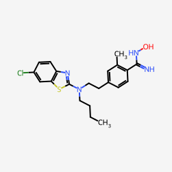 CCCCN(CCc1ccc(C(=N)NO)c(C)c1)c1nc2ccc(Cl)cc2s1